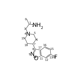 CC(N)CN1CCC(c2noc3cc(F)ccc23)CC1